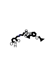 O=C1CCC(C/C=C/CCS(=O)(=O)NC2(c3cccc(OCC4CC4)c3)CC2)C(=O)N1